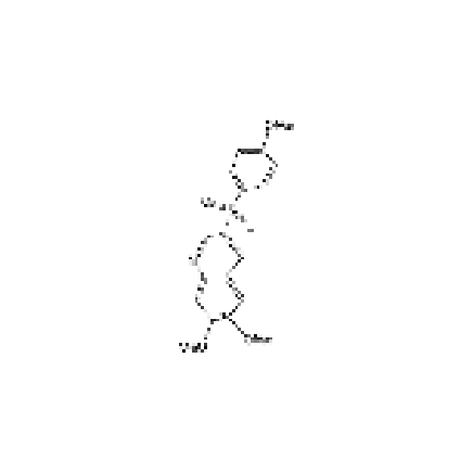 COc1ccc(S(=O)(=O)c2cnc3cc(OC)c(OC)cc3c2)cc1